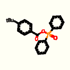 CC(C)(C)c1ccc(C(=O)OP(=O)(c2ccccc2)c2ccccc2)cc1